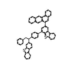 c1ccc(CC(c2ccc(-c3cc(-c4cc5ccccc5c5cc6ccccc6cc45)cc4c3sc3ccccc34)cc2)c2ccc3c(c2)sc2ccccc23)cc1